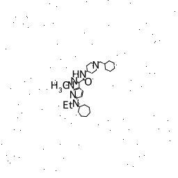 CCN(c1ccc2c(C(=O)NC3CCN(CC4CCCCC4)CC3)nn(C)c2n1)C1CCCCCC1